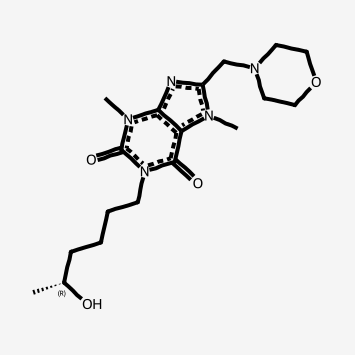 C[C@@H](O)CCCCn1c(=O)c2c(nc(CN3CCOCC3)n2C)n(C)c1=O